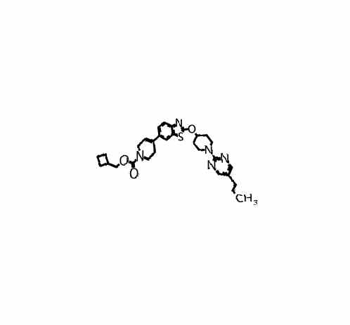 CCCc1cnc(N2CCC(Oc3nc4ccc(C5=CCN(C(=O)OCC6CCC6)CC5)cc4s3)CC2)nc1